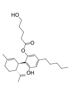 C=C(C)[C@@H]1CCC(C)=C[C@H]1c1c(O)cc(CCCCC)cc1OC(=O)CCCCO